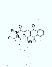 CCCC1OC(C(=O)N(CC)N2CCCC2Cl)=CC2=C1C(=O)c1ccccc1C2=O